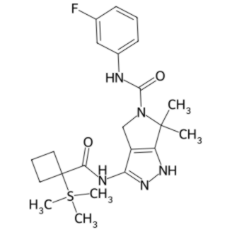 CC1(C)c2[nH]nc(NC(=O)C3(S(C)(C)C)CCC3)c2CN1C(=O)Nc1cccc(F)c1